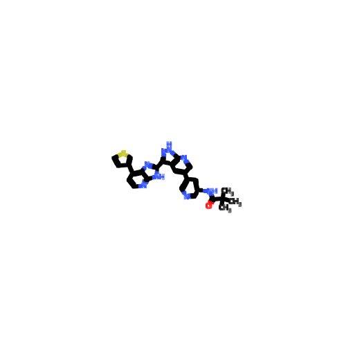 CC(C)(C)C(=O)Nc1cncc(-c2cnc3[nH]nc(-c4nc5c(-c6ccsc6)ccnc5[nH]4)c3c2)c1